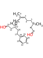 CC(C)=CCCC(C)CCO.CC(CCO)CCc1ccccc1